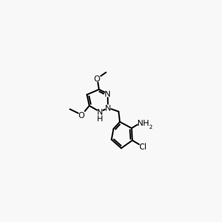 COC1=CC(OC)=NN(Cc2cccc(Cl)c2N)N1